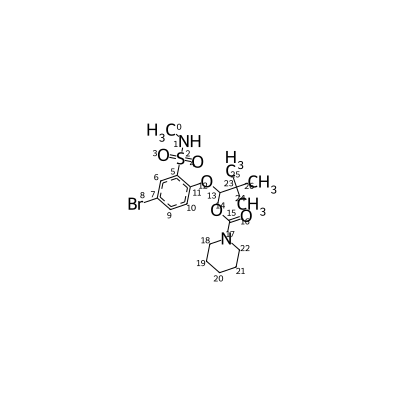 CNS(=O)(=O)c1cc(Br)ccc1OC(OC(=O)N1CCCCC1)C(C)(C)C